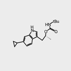 C[C@H](Cc1c[nH]c2cc(C3CC3)ccc12)OC(=O)NC(C)(C)C